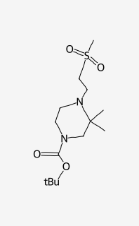 CC(C)(C)OC(=O)N1CCN(CCS(C)(=O)=O)C(C)(C)C1